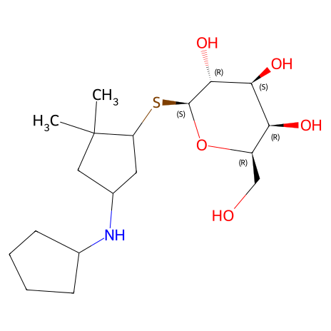 CC1(C)CC(NC2CCCC2)CC1S[C@@H]1O[C@H](CO)[C@H](O)[C@H](O)[C@H]1O